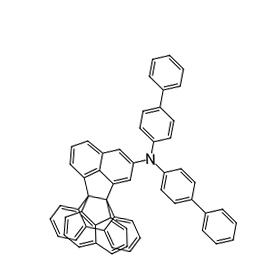 c1ccc(-c2ccc(N(c3ccc(-c4ccccc4)cc3)c3cc4c5c(cccc5c3)C35c6ccccc6-c6ccccc6C43c3cccc4cccc5c34)cc2)cc1